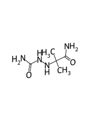 CC(C)(NNC(N)=O)C(N)=O